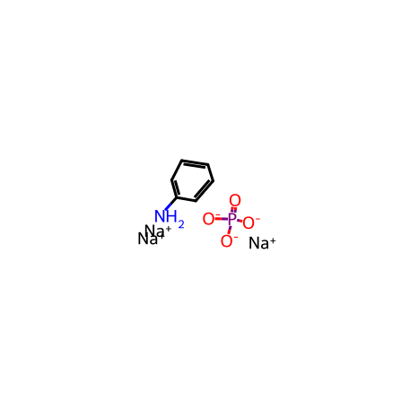 Nc1ccccc1.O=P([O-])([O-])[O-].[Na+].[Na+].[Na+]